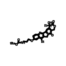 CCc1c2c(nc3ccc(OCCCNC(=O)OC(C)(C)C)cc13)-c1cc3c(c(=O)n1C2)COC(=O)[C@]3(O)CC